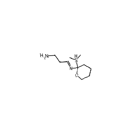 C[SiH](C)C1(N=CCCN)CCCCO1